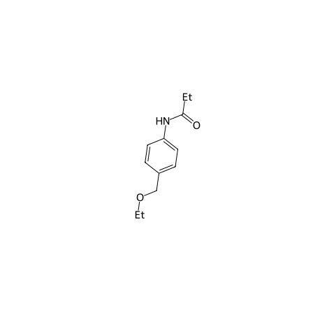 CCOCc1ccc(NC(=O)CC)cc1